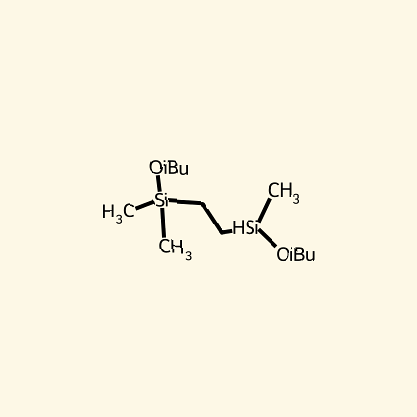 CC(C)CO[SiH](C)CC[Si](C)(C)OCC(C)C